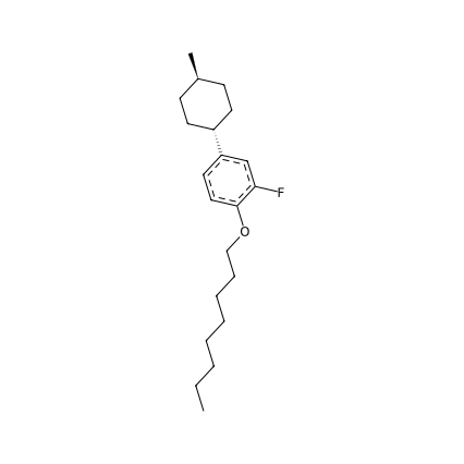 CCCCCCCCOc1ccc([C@H]2CC[C@H](C)CC2)cc1F